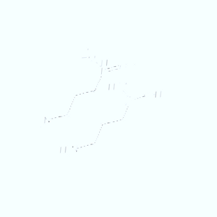 NCCCP(O)O.NCCC[PH](=O)O